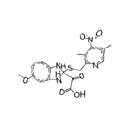 COc1ccc2c(c1)NC(SCc1ncc(C)c([N+](=O)[O-])c1C)(C(=O)C(=O)O)N2